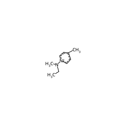 CCN(C)[n+]1ccc(C)cc1